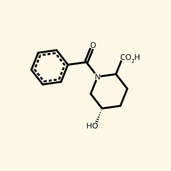 O=C(O)C1CC[C@H](O)CN1C(=O)c1ccccc1